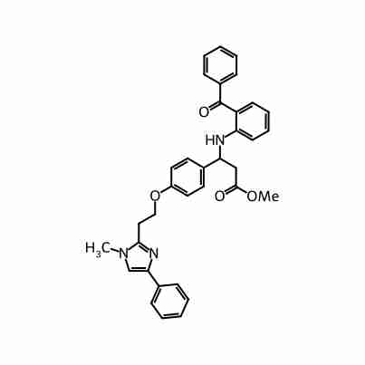 COC(=O)CC(Nc1ccccc1C(=O)c1ccccc1)c1ccc(OCCc2nc(-c3ccccc3)cn2C)cc1